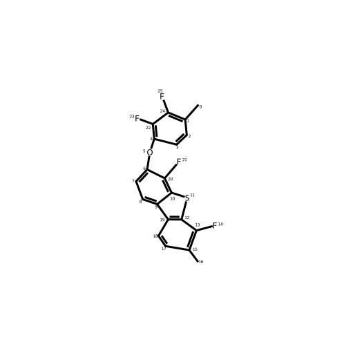 Cc1ccc(Oc2ccc3c(sc4c(F)c(C)ccc43)c2F)c(F)c1F